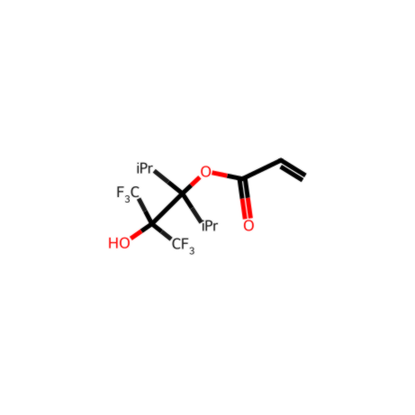 C=CC(=O)OC(C(C)C)(C(C)C)C(O)(C(F)(F)F)C(F)(F)F